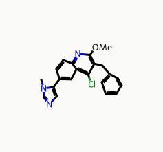 COc1nc2ccc(-c3cncn3C)cc2c(Cl)c1Cc1ccccc1